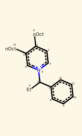 CCCCCCCCc1cc[n+](C(CC)c2ccccc2)cc1CCCCCCCC